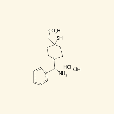 Cl.Cl.NC(c1ccccc1)N1CCC(S)(CC(=O)O)CC1